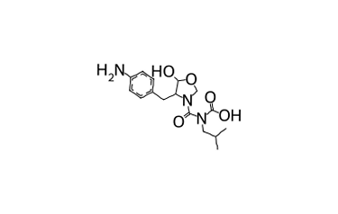 CC(C)CN(C(=O)O)C(=O)N1COC(O)C1Cc1ccc(N)cc1